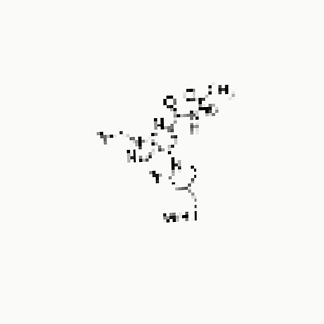 COCC1CCN(c2cc(C(=O)NS(C)(=O)=O)nc3c2c(C(C)C)nn3CC(C)C)CC1